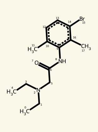 CCN(CC)CC(=O)Nc1c(C)ccc(Br)c1C